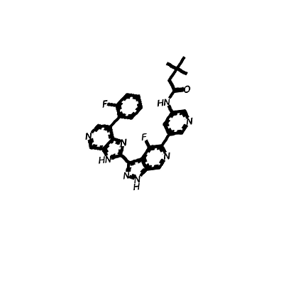 CC(C)(C)CC(=O)Nc1cncc(-c2ncc3[nH]nc(-c4nc5c(-c6ccccc6F)cncc5[nH]4)c3c2F)c1